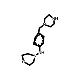 c1cc(NN2CCOCC2)ccc1CN1CCNCC1